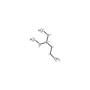 CCC[Si](OC)OC